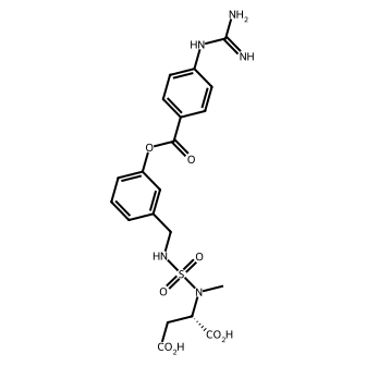 CN([C@@H](CC(=O)O)C(=O)O)S(=O)(=O)NCc1cccc(OC(=O)c2ccc(NC(=N)N)cc2)c1